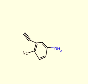 C#Cc1cc(N)ccc1C#N